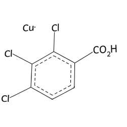 O=C(O)c1ccc(Cl)c(Cl)c1Cl.[Cu]